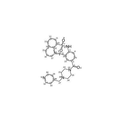 O=C(c1ccc(NS(=O)(=O)c2cccc3cccnc23)c(F)c1)N1CCN(Cc2ccncc2)CC1